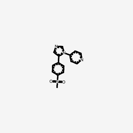 CS(=O)(=O)c1ccc(-c2cncn2-c2ccncc2)cc1